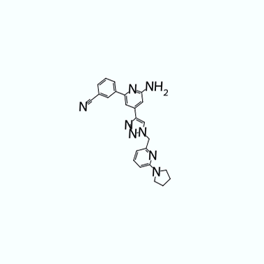 N#Cc1cccc(-c2cc(-c3cn(Cc4cccc(N5CCCC5)n4)nn3)cc(N)n2)c1